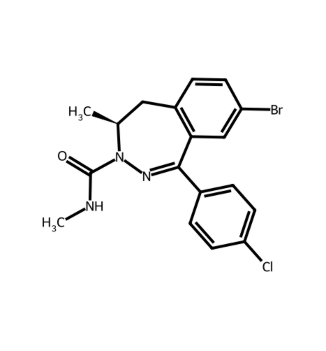 CNC(=O)N1N=C(c2ccc(Cl)cc2)c2cc(Br)ccc2C[C@@H]1C